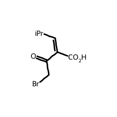 CC(C)C=C(C(=O)O)C(=O)CBr